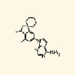 Cc1cc(-n2ccc3c(N)ncnc32)cc2c1C(C)CC21CCCCC1